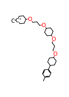 [CH2-][C+]1CCC(OCCCOC2CCC(OCCCOC3CCC(c4ccc(C)cc4)CC3)CC2)CC1